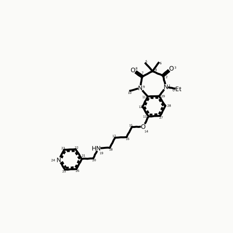 CCN1C(=O)C(C)(C)C(=O)N(C)c2cc(OCCCCNCc3ccncc3)ccc21